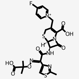 Cc1nc(/C(=N\OC(C)(C)C(=O)O)C(=O)N[C@@H]2C(=O)N3C(C(=O)O)=C(C[n+]4ccc(F)cc4)CS[C@H]23)cs1